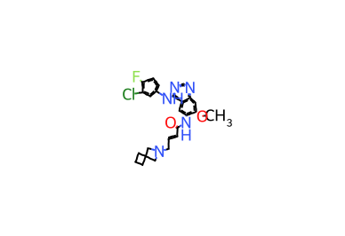 COc1cc2ncnc(Nc3ccc(F)c(Cl)c3)c2cc1NC(=O)/C=C/CN1CC2(CCC2)C1